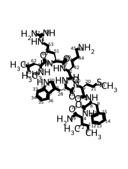 CC[C@H](C)[C@H](NC(=O)[C@H](Cc1ccccc1)NC(=O)[C@H](CCSC)NC(=O)[C@H](Cc1c[nH]c2ccccc12)NC(=O)[C@H](CCCCN)NC(=O)[C@H](CCCNC(=N)N)NC(=O)[C@H](CC(C)C)NC)C(N)=O